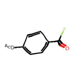 CC(=O)Oc1ccc(C(=O)F)cc1